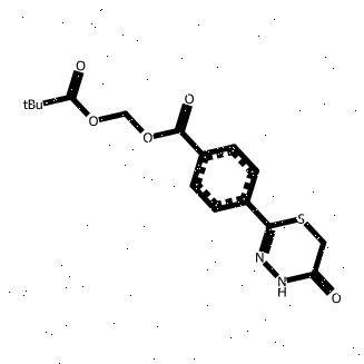 CC(C)(C)C(=O)OCOC(=O)c1ccc(C2=NNC(=O)CS2)cc1